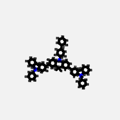 CC1(C)c2cc(-c3ccc4c(c3)c3ccccc3n4-c3ccccc3)ccc2N(c2ccc(-c3ccccc3)cc2)c2ccc(-c3ccc4c(c3)c3ccccc3n4-c3ccccc3)cc21